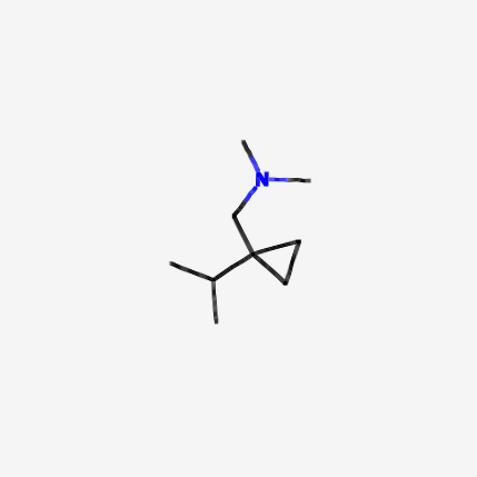 CC(C)C1(CN(C)C)CC1